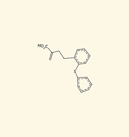 C=C(CCc1ccccc1Sc1ccccc1)C(=O)O